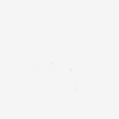 Cc1cc(Cl)nc(-c2ccccc2CF)n1